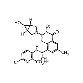 CCn1c(N2C[C@@H]3C(O)[C@@H]3C2)nc2c([C@H](C)Nc3ccc(Cl)nc3C(=O)O)cc(C)cc2c1=O